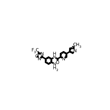 Cn1cc(-c2ccc(C(=O)Nc3cc(-c4noc(C(F)(F)F)n4)ccc3N)nc2)cn1